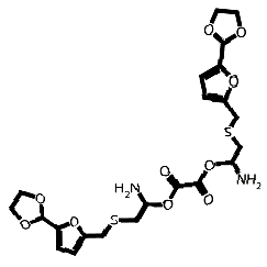 NC(CSCc1ccc(C2OCCO2)o1)OC(=O)C(=O)OC(N)CSCc1ccc(C2OCCO2)o1